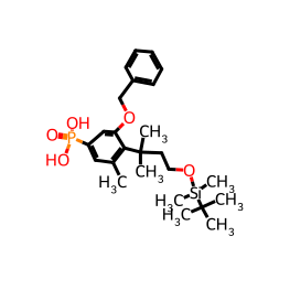 Cc1cc(P(=O)(O)O)cc(OCc2ccccc2)c1C(C)(C)CCO[Si](C)(C)C(C)(C)C